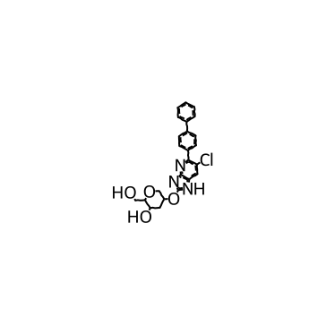 OCC1OCC(Oc2nc3nc(-c4ccc(-c5ccccc5)cc4)c(Cl)cc3[nH]2)CC1O